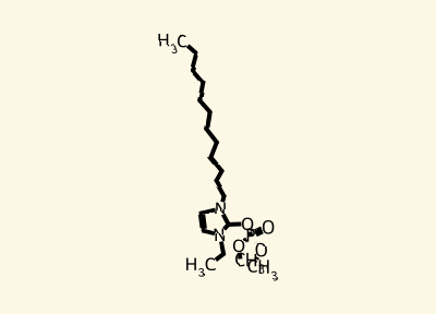 CCCCCCCCCCCCN1C=CN(CC)C1OP(=O)(OC)OC